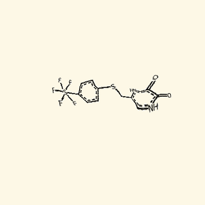 O=c1[nH]cc(CSc2ccc(S(F)(F)(F)(F)F)cc2)[nH]c1=O